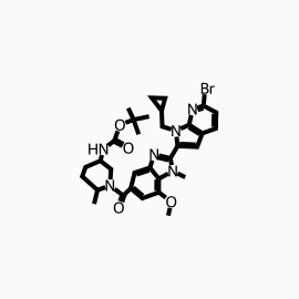 COc1cc(C(=O)N2CC(NC(=O)OC(C)(C)C)CCC2C)cc2nc(-c3cc4ccc(Br)nc4n3CC3CC3)n(C)c12